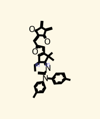 C=C1C(=C)C(=O)C(=Cc2cc3c(o2)C(=C/C)/C(=N\C(=C)N(c2ccc(C)cc2)c2ccc(C)cc2)C3(C)C)C1=O